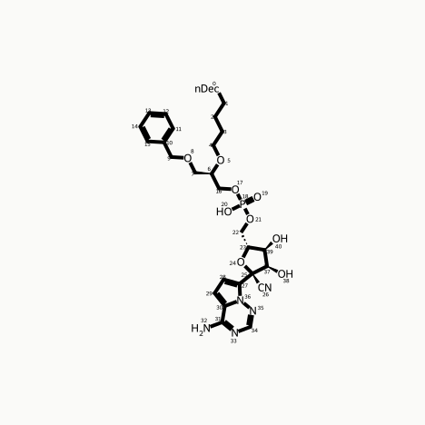 CCCCCCCCCCCCCCO[C@H](COCc1ccccc1)COP(=O)(O)OC[C@H]1O[C@@](C#N)(c2ccc3c(N)ncnn23)[C@H](O)[C@@H]1O